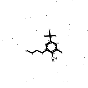 CCCCc1cc(C(C)(C)C)cc(C)c1O